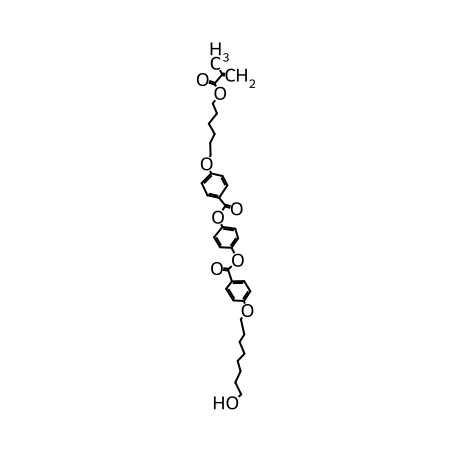 C=C(C)C(=O)OCCCCCCOc1ccc(C(=O)Oc2ccc(OC(=O)c3ccc(OCCCCCCCCO)cc3)cc2)cc1